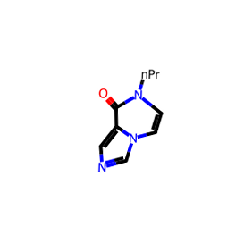 CCCn1ccn2cncc2c1=O